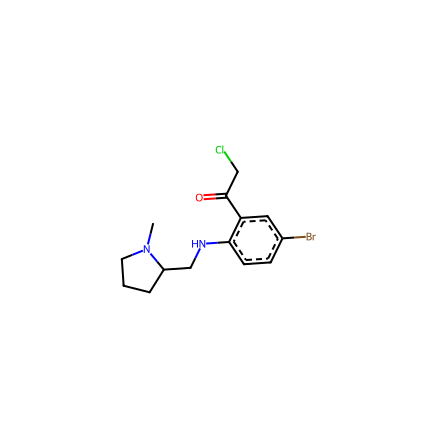 CN1CCCC1CNc1ccc(Br)cc1C(=O)CCl